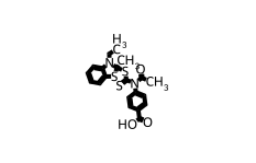 CCN1c2ccccc2SC1(C)SC(=S)N(C(C)=O)c1ccc(C(=O)O)cc1